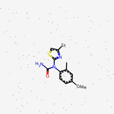 CCc1csc(N(C(N)=O)c2ccc(OC)cc2C)n1